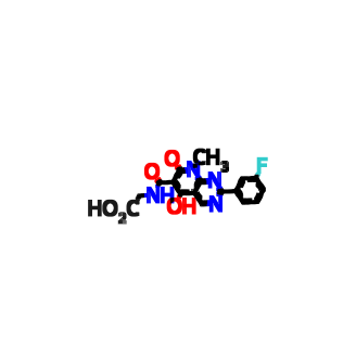 Cn1c(=O)c(C(=O)NCC(=O)O)c(O)c2cnc(-c3cccc(F)c3)nc21